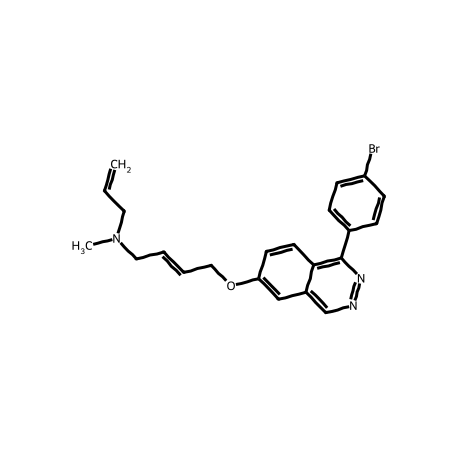 C=CCN(C)C/C=C/COc1ccc2c(-c3ccc(Br)cc3)nncc2c1